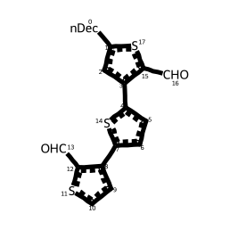 CCCCCCCCCCc1cc(-c2ccc(-c3ccsc3C=O)s2)c(C=O)s1